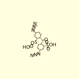 [N-]=[N+]=Nc1ccc(C(=O)c2ccc(N=[N+]=[N-])cc2S(=O)(=O)O)c(SOOO)c1